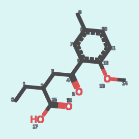 CCC(CC(=O)c1cc(C)ccc1OC)C(=O)O